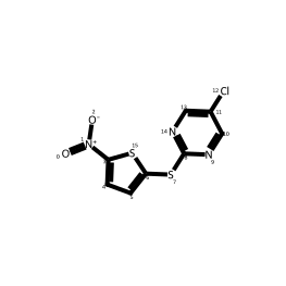 O=[N+]([O-])c1ccc(Sc2ncc(Cl)cn2)s1